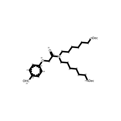 CCCCCCCCCCCCCCCCN(CCCCCCCCCCCCCCCC)C(=O)COc1ccc(C=O)cc1